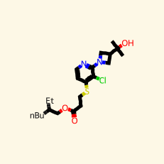 CCCCC(CC)COC(=O)CCSc1ccnc(N2CC(C(C)(C)O)C2)c1Cl